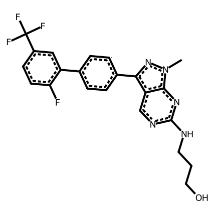 Cn1nc(-c2[c]cc(-c3cc(C(F)(F)F)ccc3F)cc2)c2cnc(NCCCO)nc21